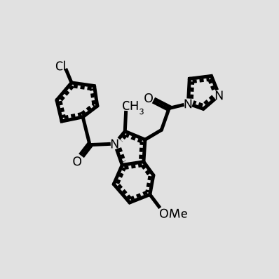 COc1ccc2c(c1)c(CC(=O)n1ccnc1)c(C)n2C(=O)c1ccc(Cl)cc1